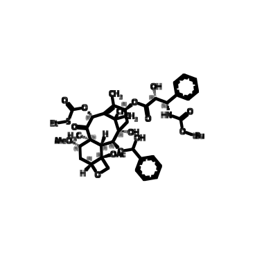 CCSC(=O)O[C@H]1C(=O)[C@]2(C)[C@@H](OC)C[C@H]3OC[C@@]3(OC(C)=O)[C@H]2[C@H](OC(O)c2ccccc2)[C@]2(O)C[C@H](OC(=O)[C@H](O)[C@@H](NC(=O)OC(C)(C)C)c3ccccc3)C(C)=C1C2(C)C